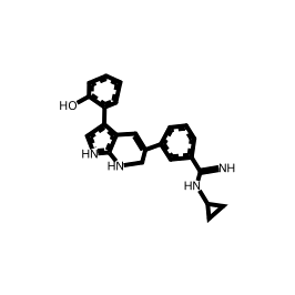 N=C(NC1CC1)c1cccc(C2=Cc3c(-c4ccccc4O)c[nH]c3NC2)c1